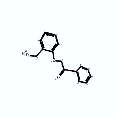 O=C(COc1ccccc1CO)c1ccccc1